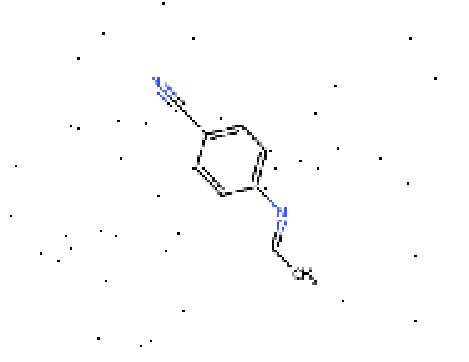 C/C=N/c1ccc(C#N)cc1